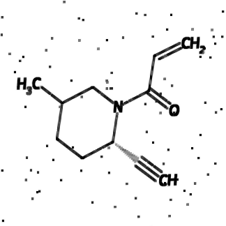 C#C[C@@H]1CCC(C)CN1C(=O)C=C